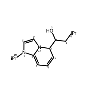 CC(C)CC(O)C1C=CC=C2N(C(C)C)C=CN21